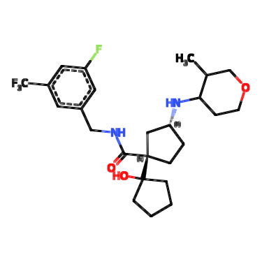 CC1COCCC1N[C@@H]1CC[C@@](C(=O)NCc2cc(F)cc(C(F)(F)F)c2)(C2(O)CCCC2)C1